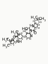 Cc1cc(Nc2cc(-c3ccnc(N4CCn5c(cc6c5CC(C)(C)C6)C4=O)c3CO)cn(C)c2=O)nn1C